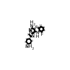 Nc1cc(Nc2c(F)cccc2F)c2nc([C@H]3CC[C@H](N)CC3)cn2n1